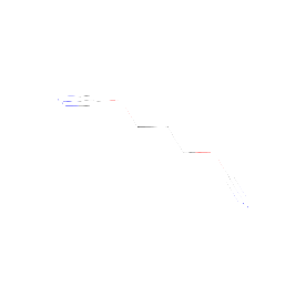 N#COCCCOC#N